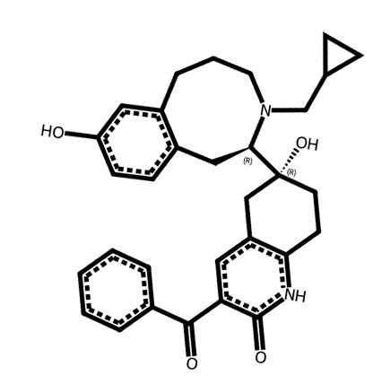 O=C(c1ccccc1)c1cc2c([nH]c1=O)CC[C@](O)([C@H]1Cc3ccc(O)cc3CCCN1CC1CC1)C2